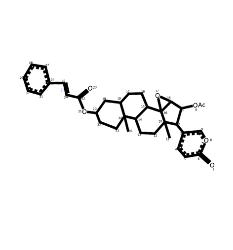 CC(=O)OC1C(c2ccc(=O)oc2)C2(C)CCC3C(CCC4CC(OC(=O)/C=C/c5ccccc5)CCC43C)C23OC13